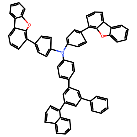 c1ccc(-c2cc(-c3ccc(N(c4ccc(-c5cccc6c5oc5ccccc56)cc4)c4ccc(-c5cccc6c5oc5ccccc56)cc4)cc3)cc(-c3cccc4ccccc34)c2)cc1